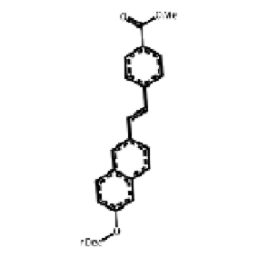 CCCCCCCCCCOc1ccc2cc(C=Cc3ccc(C(=O)OC)cc3)ccc2c1